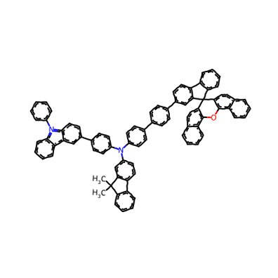 CC1(C)c2ccccc2-c2ccc(N(c3ccc(-c4ccc(-c5ccc6c(c5)C5(c7ccccc7-6)c6ccc7ccccc7c6Oc6c5ccc5ccccc65)cc4)cc3)c3ccc(-c4ccc5c(c4)c4ccccc4n5-c4ccccc4)cc3)cc21